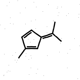 CC1=CC(=C(C)C)C=C1